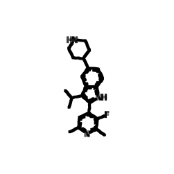 Cc1cc(-c2[nH]c3ccc(C4CCNCC4)cc3c2C(C)C)c(F)c(C)n1